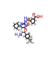 Cc1cccc(C)c1-c1cc(OC(CN)c2ccc([Si](C)(C)C)cc2)nc(NS(=O)(=O)c2cccc(C(=O)O)c2)n1